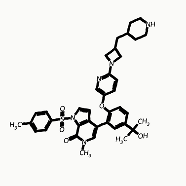 Cc1ccc(S(=O)(=O)n2ccc3c(-c4cc(C(C)(C)O)ccc4Oc4ccc(N5CC(CC6CCNCC6)C5)nc4)cn(C)c(=O)c32)cc1